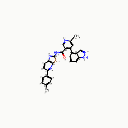 Cc1cc(-c2cccc3[nH]ncc23)c(C(=O)Nc2nc3ccc(-c4ccc(C#N)cc4)nc3s2)cn1